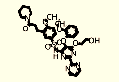 COc1ccc(S(=O)(=O)Nc2nc(-c3ncccn3)nc(OCCO)c2Oc2ccccc2OC)cc1CCC(=O)N1CCCCC1